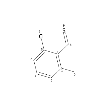 Cc1cccc(Cl)c1C=S